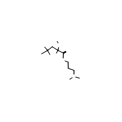 CPC(S)(CC(C)(C)C)C(=O)OCCCN(C)C